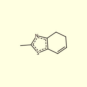 Cc1nc2c(s1)C=CCC2